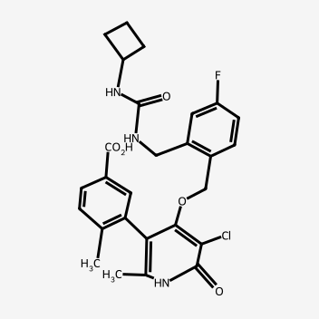 Cc1ccc(C(=O)O)cc1-c1c(C)[nH]c(=O)c(Cl)c1OCc1ccc(F)cc1CNC(=O)NC1CCC1